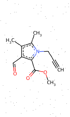 C#CCn1c(C)c(C)c(C=O)c1C(=O)OC